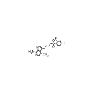 Cc1cnc(N)c2ncn(CCCCS(=O)(=O)c3ccc(F)cc3F)c12